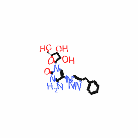 Nc1nc(=O)n([C@@H]2O[C@H](CO)C(O)[C@@H]2O)cc1-n1cc(Cc2ccccc2)nn1